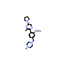 COc1cc(CN2CCN(C)CC2)ccc1-c1ncc(N2CCCC2)nc1C